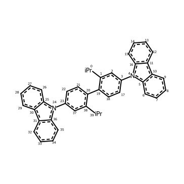 CC(C)c1cc(-n2c3ccccc3c3ccccc32)ccc1-c1ccc(-n2c3ccccc3c3ccccc32)cc1C(C)C